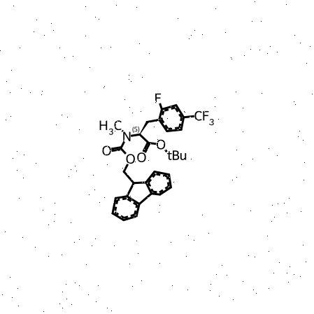 CN(C(=O)OCC1c2ccccc2-c2ccccc21)[C@@H](Cc1ccc(C(F)(F)F)cc1F)C(=O)OC(C)(C)C